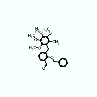 COc1c(C)c(Cc2cccc(C=O)c2OCc2ccccc2)c(OC)c(OC)c1OC